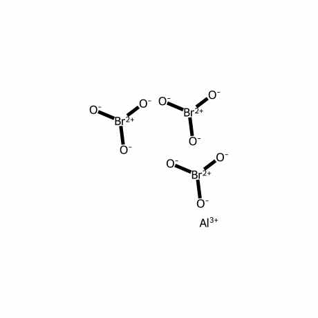 [Al+3].[O-][Br+2]([O-])[O-].[O-][Br+2]([O-])[O-].[O-][Br+2]([O-])[O-]